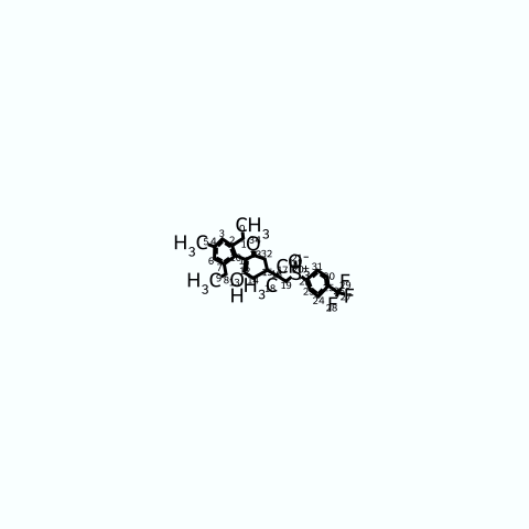 CCc1cc(C)cc(CC)c1C1=C(O)CC(C(C)(C)C[S+]([O-])c2ccc(C(F)(F)F)cc2)CC1=O